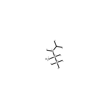 CC(C)N(C)[Si](C)(N)[Si](C)(C)C